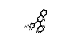 c1ccc2nc(-c3cnccn3)c(-c3cn[nH]c3)cc2c1